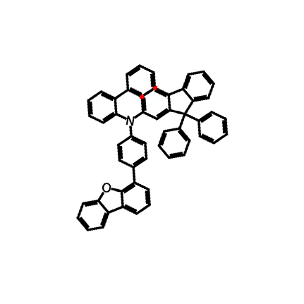 c1ccc(-c2ccccc2N(c2ccc(-c3cccc4c3oc3ccccc34)cc2)c2ccc3c(c2)C(c2ccccc2)(c2ccccc2)c2ccccc2-3)cc1